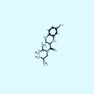 CC(C)CN(C(=O)C1COc2ccc(F)cc2O1)C(C)C